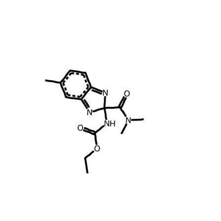 CCOC(=O)NC1(C(=O)N(C)C)N=c2ccc(C)cc2=N1